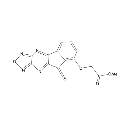 COC(=O)COc1cccc2c1C(=O)c1nc3nonc3nc1-2